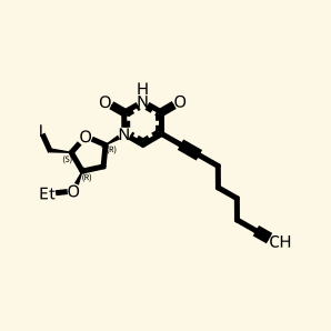 C#CCCCCC#Cc1cn([C@H]2C[C@@H](OCC)[C@@H](CI)O2)c(=O)[nH]c1=O